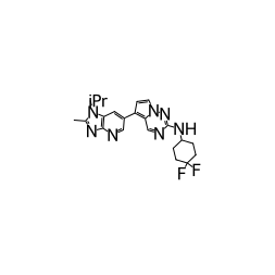 Cc1nc2ncc(-c3ccn4nc(NC5CCC(F)(F)CC5)ncc34)cc2n1C(C)C